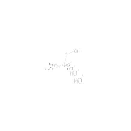 Cl.Cl.Cl.Cl.OCCO.[Zr]